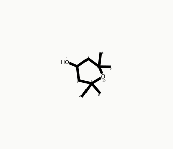 CC1(C)CC(O)CC(C)(C)O1